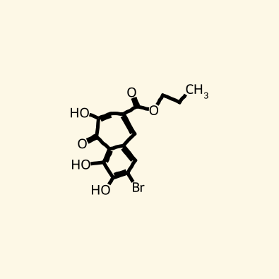 CCCOC(=O)c1cc(O)c(=O)c2c(O)c(O)c(Br)cc2c1